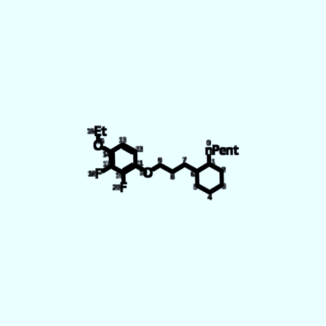 CCCCCC1CCCCC1CCCOc1ccc(OCC)c(F)c1F